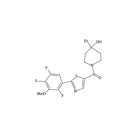 CCC1(O)CCN(C(=O)c2cnc(-c3cc(F)c(F)c(OC)c3F)s2)CC1